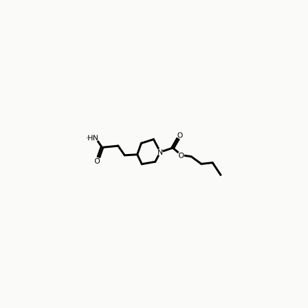 CCCCOC(=O)N1CCC(CCC([NH])=O)CC1